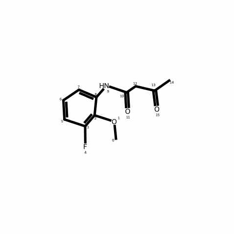 COc1c(F)cccc1NC(=O)CC(C)=O